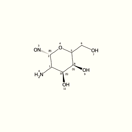 NC1[C@H](N=O)OC(CO)[C@@H](O)[C@H]1O